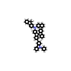 CC1(C)c2ccccc2-c2ccc(N(c3ccc4c(c3)C(c3ccccc3)(c3ccccc3)c3cc(-c5ccc6c(c5)c5ccccc5n6-c5ccccc5)ccc3-4)c3ccc4ccccc4c3)cc21